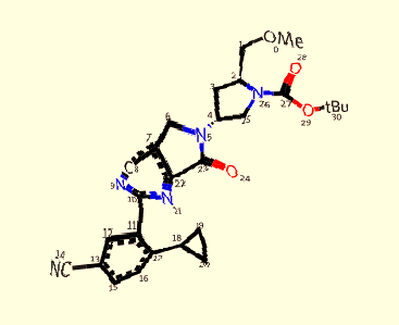 COC[C@@H]1C[C@@H](N2Cc3cnc(-c4cc(C#N)ccc4C4CC4)nc3C2=O)CN1C(=O)OC(C)(C)C